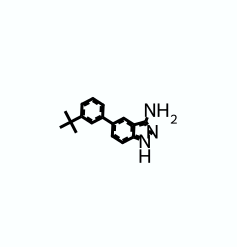 CC(C)(C)c1cccc(-c2ccc3[nH]nc(N)c3c2)c1